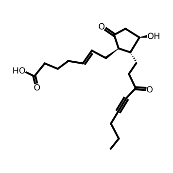 CCCC#CC(=O)CC[C@H]1[C@H](O)CC(=O)[C@@H]1CC=CCCCC(=O)O